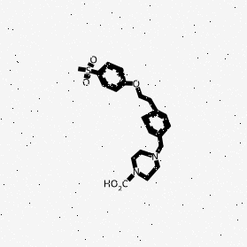 CS(=O)(=O)c1ccc(OCCc2ccc(CN3CCN(C(=O)O)CC3)cc2)cc1